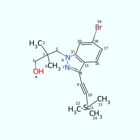 CC(C)(CO)Cn1nc(C#C[Si](C)(C)C)c2ccc(Br)cc21